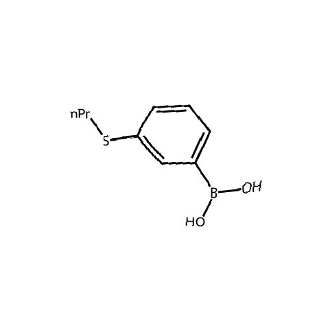 CCCSc1cccc(B(O)O)c1